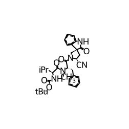 CC(C)[C@H](NC(=O)OC(C)(C)C)C(=O)N(C)[C@@H](Cc1ccccc1)C(=O)N1C[C@]2(C[C@H]1C#N)C(=O)Nc1ccccc12